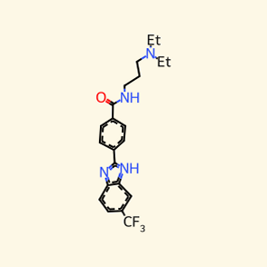 CCN(CC)CCCNC(=O)c1ccc(-c2nc3ccc(C(F)(F)F)cc3[nH]2)cc1